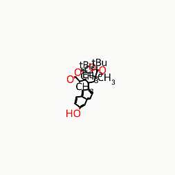 CCC(C)(CC(CC(C)C(=O)OC(C)(C)C(C)(C)C)c1ccc2cc(O)ccc2c1)C(=O)OC(C)(C)C